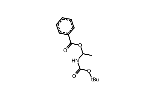 CC(NC(=O)OC(C)(C)C)OC(=O)c1ccccc1